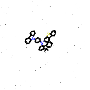 CC1(C)c2ccccc2-c2c(N(c3ccc(-n4c5ccccc5c5ccccc54)cc3)c3ccc4c(c3)sc3ccccc34)cccc21